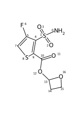 NS(=O)(=O)c1c(F)csc1C(=O)OC1CCO1